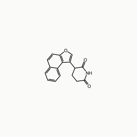 O=C1CCC(c2coc3ccc4ccccc4c23)C(=O)N1